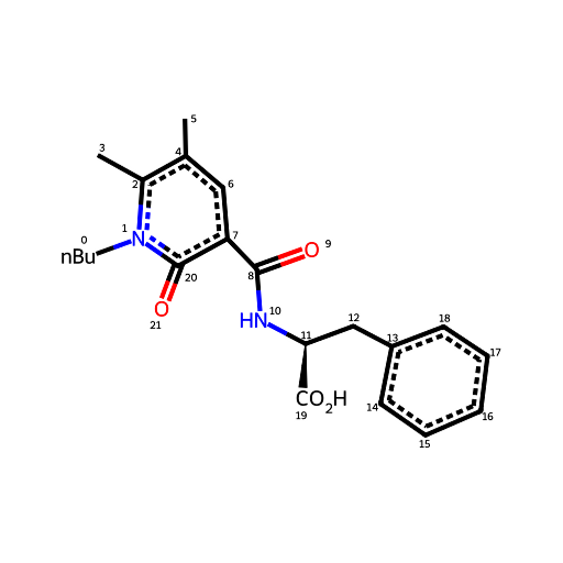 CCCCn1c(C)c(C)cc(C(=O)N[C@@H](Cc2ccccc2)C(=O)O)c1=O